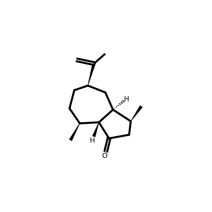 C=C(C)[C@@H]1CC[C@H](C)[C@H]2C(=O)C[C@H](C)[C@@H]2C1